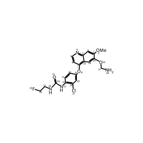 COc1cc2nccc(Oc3ccc(NC(=O)NCCF)c(Cl)c3)c2cc1OCN